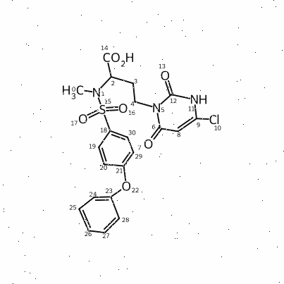 CN(C(CCn1c(=O)cc(Cl)[nH]c1=O)C(=O)O)S(=O)(=O)c1ccc(Oc2ccccc2)cc1